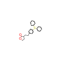 O=C1OCCC1CCc1ccc([S+](c2ccccc2)c2ccccc2)cc1